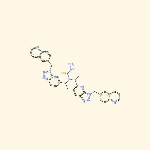 CC(c1ccc2nnn(Cc3ccc4ncccc4c3)c2n1)N(C(=S)NN)C(C)c1ccc2nnn(Cc3ccc4ncccc4c3)c2n1